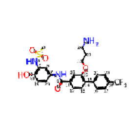 CS(=O)(=O)Nc1cc(NC(=O)c2ccc(-c3ccc(C(F)(F)F)cc3)c(OCCCN)c2)ccc1O